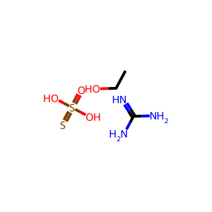 CCO.N=C(N)N.O=S(O)(O)=S